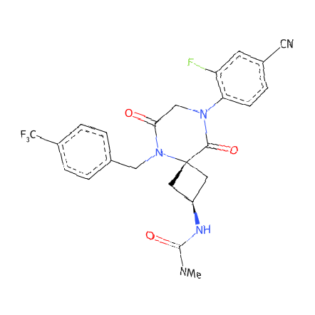 CNC(=O)N[C@H]1C[C@]2(C1)C(=O)N(c1ccc(C#N)cc1F)CC(=O)N2Cc1ccc(C(F)(F)F)cc1